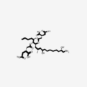 CCCC[C@@H](C)[C@@H](OC(=O)C[C@@H](CC(=O)O)C(=O)O)[C@H](C[C@@H](C)C[C@H](O)CCCCCC[C@H](O)CN)OC(=O)C[C@@H](CC(=O)O)C(=O)O